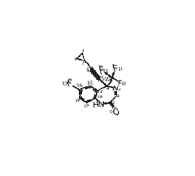 O=C1C=NC(C#CC2CC2)(C(F)(F)F)c2cc(F)ccc2N1